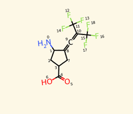 NC1CC(C(=O)O)CC1=C=C(C(F)(F)F)C(F)(F)F